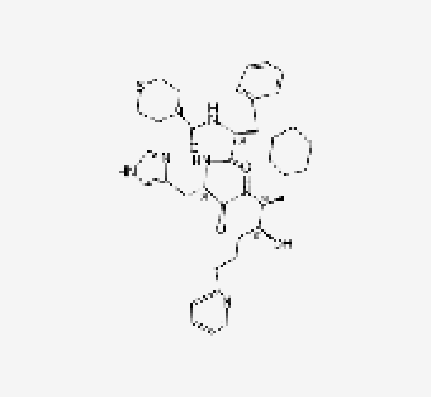 O=C(N[C@@H](CC1CCCCC1)[C@@H](O)CCCc1ccccn1)[C@H](Cc1c[nH]cn1)NC(=O)[C@H](Cc1ccccc1)NC(=O)N1CCSCC1